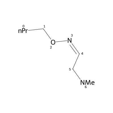 CCCCO/N=C\CNC